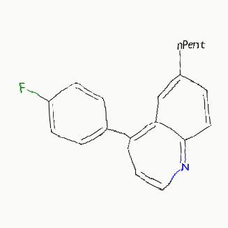 CCCCCc1ccc2nccc(-c3ccc(F)cc3)c2c1